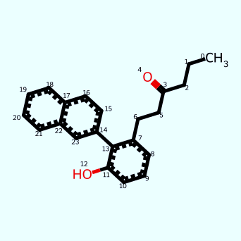 CCCC(=O)CCc1cccc(O)c1-c1ccc2ccccc2c1